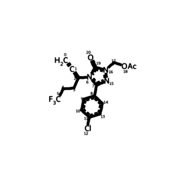 C=C=C(CCC(F)(F)F)n1c(-c2ccc(Cl)cc2)nn(COC(C)=O)c1=O